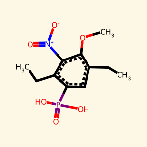 CCc1cc(P(=O)(O)O)c(CC)c([N+](=O)[O-])c1OC